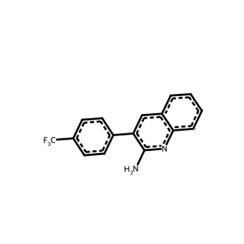 Nc1nc2[c]cccc2cc1-c1ccc(C(F)(F)F)cc1